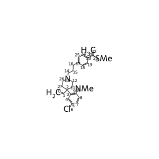 C=CC1(c2cc(Cl)ccc2NC)CCN(CCCc2ccc(C(C)SC)cc2)CC1